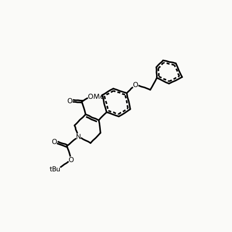 COC(=O)C1=C(c2ccc(OCc3ccccc3)cc2)CCN(C(=O)OC(C)(C)C)C1